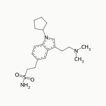 CN(C)CCc1cn(C2CCCC2)c2ccc(CCS(N)(=O)=O)cc12